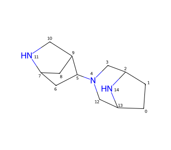 C1CC2CN(C3CC4CC3CN4)CC1N2